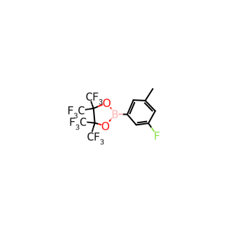 Cc1cc(F)cc(B2OC(C(F)(F)F)(C(F)(F)F)C(C(F)(F)F)(C(F)(F)F)O2)c1